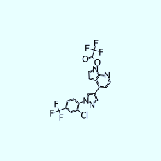 O=C(On1ccc2c(-c3cnn(-c4ccc(C(F)(F)F)cc4Cl)c3)ccnc21)C(F)(F)F